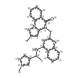 Cc1cc2n(Cc3nc(NC(C)c4cnn(C)c4)c4ccccc4n3)c(=O)c3ccccc3n2n1